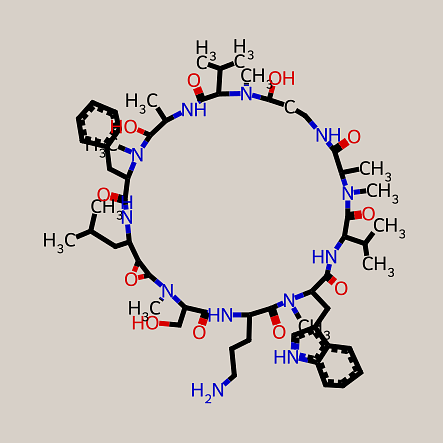 CC(C)CC1NC(=O)C(Cc2ccccc2)N(C)C(O)C(C)NC(=O)C(C(C)C)N(C)C(O)CCNC(=O)C(C)N(C)C(=O)C(C(C)C)NC(=O)C(Cc2c[nH]c3ccccc23)N(C)C(=O)C(CCCN)NC(=O)C(CO)N(C)C2OC12